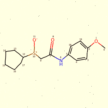 COc1ccc(NC(=O)C[S+]([O-])C2CCCCC2)cc1